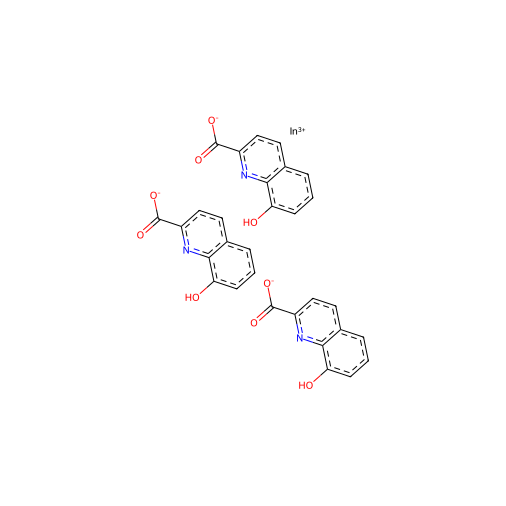 O=C([O-])c1ccc2cccc(O)c2n1.O=C([O-])c1ccc2cccc(O)c2n1.O=C([O-])c1ccc2cccc(O)c2n1.[In+3]